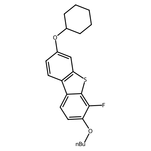 CCCCOc1ccc2c(sc3cc(OC4CCCCC4)ccc32)c1F